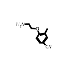 Cc1cc(C#N)ccc1OCCN